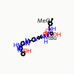 C#Cc1ccc(CNC(=O)[C@@H]2C[C@@H](O)CN2C(=O)[C@@H](NC(=O)N2CC3(CC(N4CCC(c5cnc(N6CCc7[nH]c8nnc(-c9ccccc9O)cc8c7[C@H]6C)nc5)CC4)C3)C2)C(C)(C)C)cc1OC